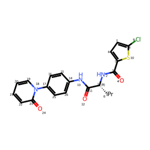 CC(C)[C@@H](NC(=O)c1ccc(Cl)s1)C(=O)Nc1ccc(-n2ccccc2=O)cc1